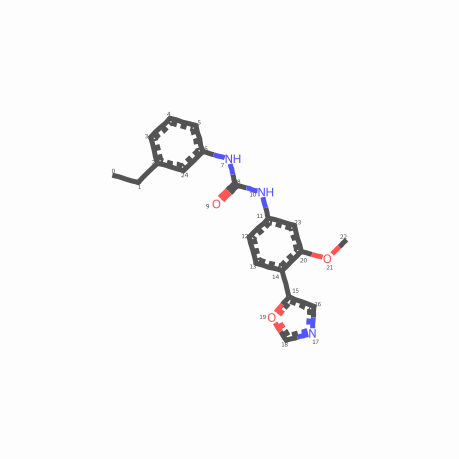 CCc1cccc(NC(=O)Nc2ccc(-c3cnco3)c(OC)c2)c1